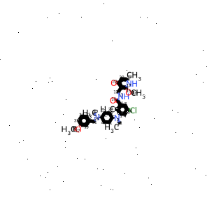 CCN(c1cc(Cl)cc(C(=O)NCc2c(OC)[nH]c(C)cc2=O)c1C)[C@H]1CC[C@H](N(C)Cc2cccc(OC)c2)CC1